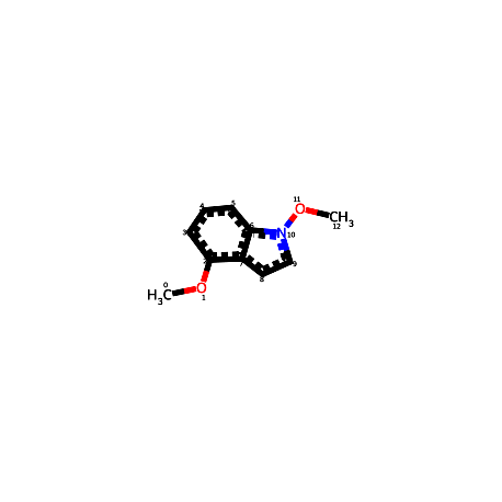 COc1c[c]cc2c1ccn2OC